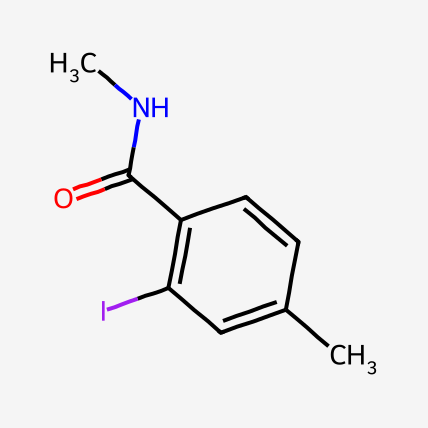 CNC(=O)c1ccc(C)cc1I